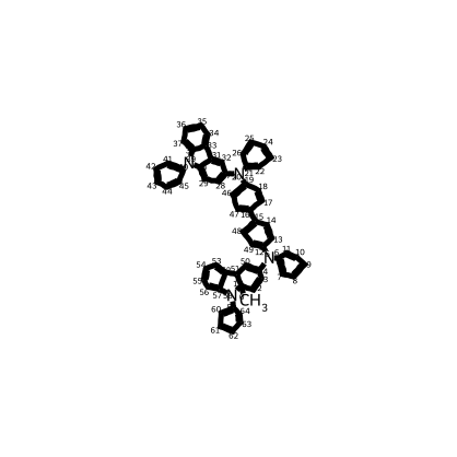 CC12C=CC(N(c3ccccc3)c3ccc(-c4ccc(N(c5ccccc5)c5ccc6c(c5)c5ccccc5n6-c5ccccc5)cc4)cc3)=CC1c1ccccc1N2c1ccccc1